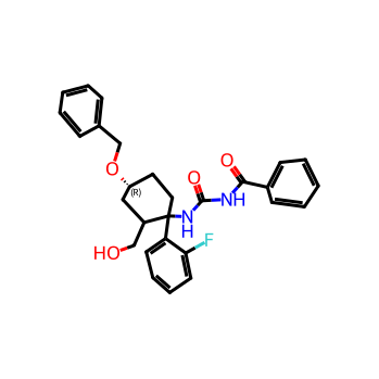 O=C(NC(=O)c1ccccc1)NC1(c2ccccc2F)CC[C@@H](OCc2ccccc2)CC1CO